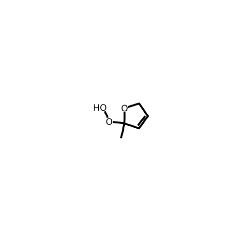 CC1(OO)C=CCO1